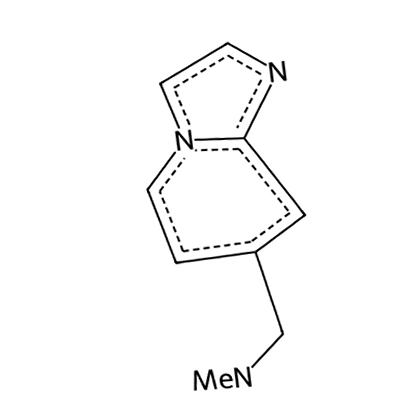 CNCc1ccn2ccnc2c1